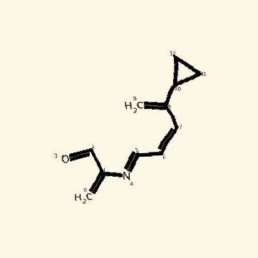 C=C(C=O)/N=C/C=C\C(=C)C1CC1